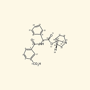 O=C(O)c1cccc(C(=O)NC(C(=O)O[C@H]2CN3CCC2CC3)c2ccccc2)c1